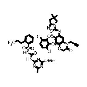 C#CCN1C(=O)COc2cc(F)c(/N=c3\snc4n3CC(C)(C)C4)cc21.COc1c(Cl)ccc(Cl)c1C(=O)O.COc1nc(C)nc(NC(=O)NS(=O)(=O)c2ccccc2CCC(F)(F)F)n1